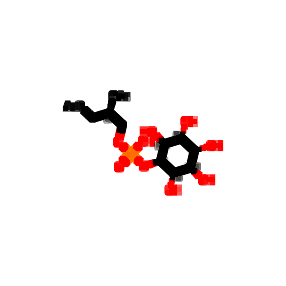 CC(=O)OC[C@H](COP(=O)(O)O[C@H]1[C@@H](O)[C@H](O)[C@H](O)[C@@H](O)[C@@H]1O)OC(C)=O